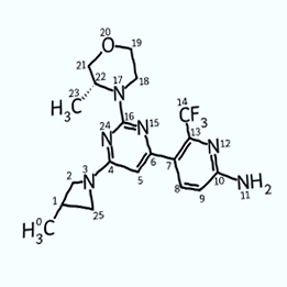 CC1CN(c2cc(-c3ccc(N)nc3C(F)(F)F)nc(N3CCOC[C@H]3C)n2)C1